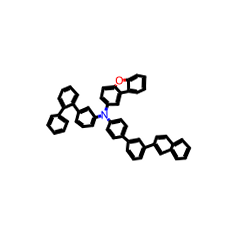 c1ccc(-c2ccccc2-c2cccc(N(c3ccc(-c4cccc(-c5ccc6ccccc6c5)c4)cc3)c3ccc4oc5ccccc5c4c3)c2)cc1